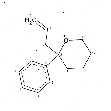 C=CCC1(c2ccccc2)CCCCO1